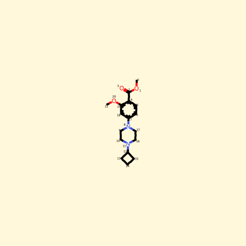 COC(=O)c1ccc(N2CCN(C3CCC3)CC2)cc1OC